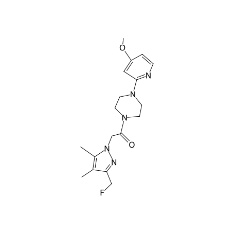 COc1ccnc(N2CCN(C(=O)Cn3nc(CF)c(C)c3C)CC2)c1